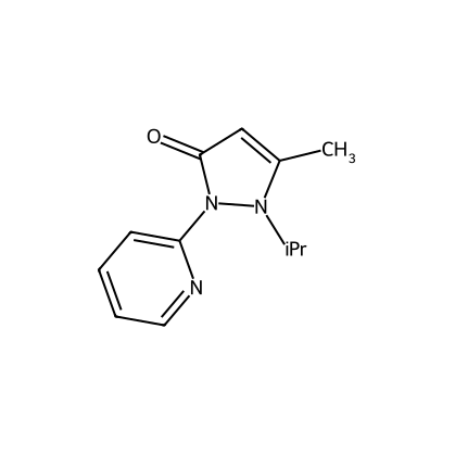 Cc1cc(=O)n(-c2ccccn2)n1C(C)C